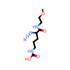 COCCNC(=O)C(CCCNC(=O)O)N=[N+]=[N-]